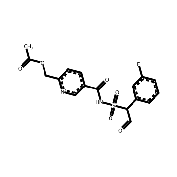 CC(=O)OCc1ccc(C(=O)NS(=O)(=O)C(C=O)c2cccc(F)c2)cn1